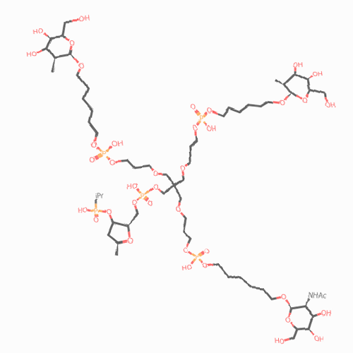 CC(=O)N[C@H]1C(O)[C@@H](O)C(CO)O[C@H]1OCCCCCCOP(=O)(O)OCCCOCC(COCCCOP(=O)(O)OCCCCCCO[C@@H]1OC(CO)[C@H](O)C(O)[C@@H]1C)(COCCCOP(=O)(O)OCCCCCCO[C@@H]1OC(CO)[C@H](O)C(O)[C@@H]1C)COP(=O)(O)OC[C@H]1O[C@@H](C)CC1OP(=O)(O)C(C)C